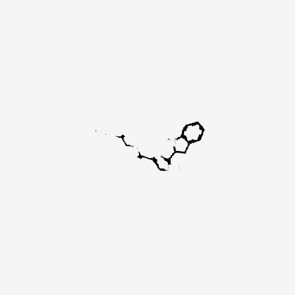 COC(=O)CNC(=O)c1c[nH]c(C2Cc3ccccc3N2C(=O)O)n1